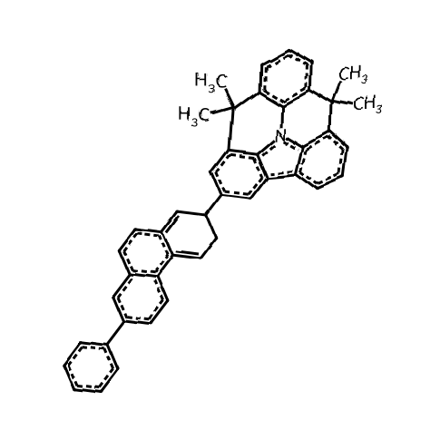 CC1(C)c2cccc3c2-n2c4c1cccc4c1cc(C4C=c5ccc6cc(-c7ccccc7)ccc6c5=CC4)cc(c12)C3(C)C